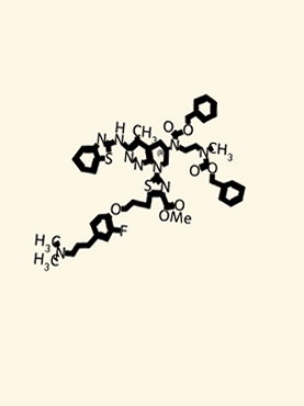 COC(=O)c1nc(N2C[C@H](N(CCN(C)C(=O)OCc3ccccc3)C(=O)OCc3ccccc3)Cc3c2nnc(Nc2nc4ccccc4s2)c3C)sc1CCCOc1ccc(CCCN(C)C)cc1F